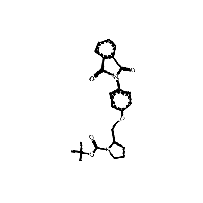 CC(C)(C)OC(=O)N1CCCC1COc1ccc(N2C(=O)c3ccccc3C2=O)cc1